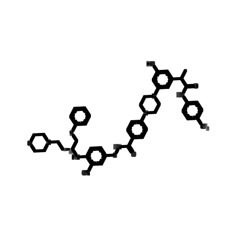 CC(C(=O)Nc1ccc(C(F)(F)F)cc1)c1cc(O)cc(N2CCN(c3ccc(C(=O)NSc4ccc(N[C@H](CCN5CCOCC5)CSc5ccccc5)c(N=O)c4)cc3)CC2)c1